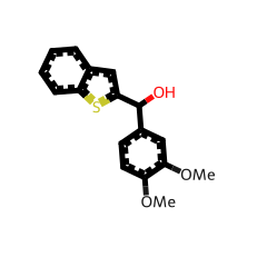 COc1ccc(C(O)c2cc3ccccc3s2)cc1OC